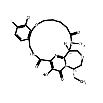 CC[C@H]1COC[C@@H]2c3nc(c(O)c(=O)n31)C(=O)NCc1ccc(F)c(Cl)c1OCCCCC(=O)N2C